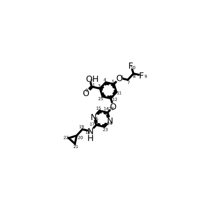 O=C(O)c1cc(OCC(F)F)cc(Oc2cnc(NCC3CC3)cn2)c1